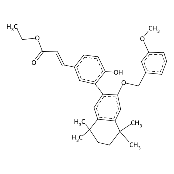 CCOC(=O)/C=C/c1ccc(O)c(-c2cc3c(cc2OCc2cccc(OC)c2)C(C)(C)CCC3(C)C)c1